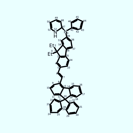 CCC1(CC)c2cc(/C=C/c3cccc4c3-c3ccccc3C4(c3ccccc3)c3ccccc3)ccc2-c2ccc(N(c3ccccc3)C3C=CC=CN3)cc21